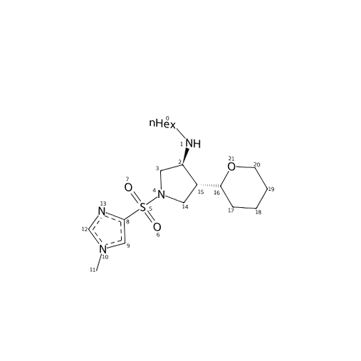 CCCCCCN[C@@H]1CN(S(=O)(=O)c2cn(C)cn2)C[C@H]1C1CCCCO1